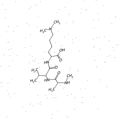 CNC(C)C(=O)NC(C(=O)NC(CCCCN(C)C)C(=O)O)C(C)C